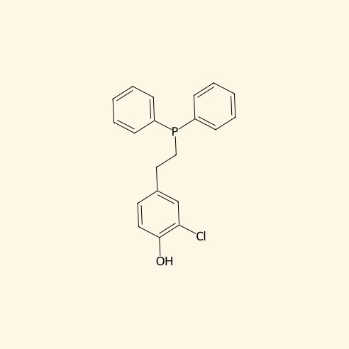 Oc1ccc(CCP(c2ccccc2)c2ccccc2)cc1Cl